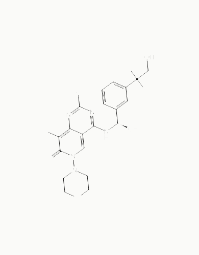 Cc1nc(N[C@H](C)c2cccc(C(F)(F)CO)c2)c2cn(N3CCOCC3)c(=O)c(F)c2n1